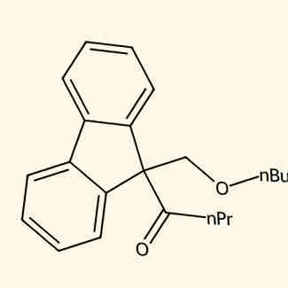 CCCCOCC1(C(=O)CCC)c2ccccc2-c2ccccc21